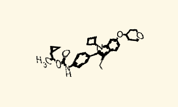 CC(OC(=O)Nc1ccc(-c2c(I)c3ccc(OC4CCOCC4)cc3n2C2CCC2)cc1)C1CC1